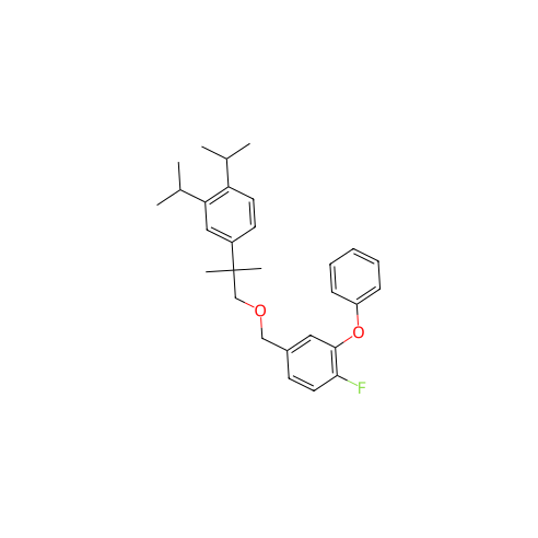 CC(C)c1ccc(C(C)(C)COCc2ccc(F)c(Oc3ccccc3)c2)cc1C(C)C